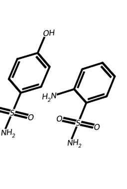 NS(=O)(=O)c1ccc(O)cc1.Nc1ccccc1S(N)(=O)=O